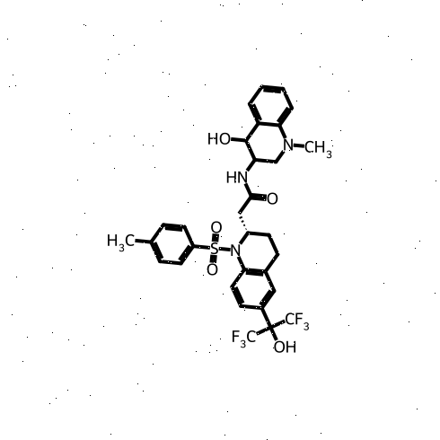 Cc1ccc(S(=O)(=O)N2c3ccc(C(O)(C(F)(F)F)C(F)(F)F)cc3CC[C@H]2CC(=O)NC2CN(C)c3ccccc3C2O)cc1